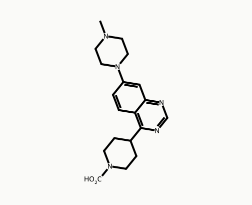 CN1CCN(c2ccc3c(C4CCN(C(=O)O)CC4)ncnc3c2)CC1